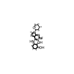 Oc1cccc(Nc2nc(F)nc3c2ncn3C2CCCCO2)c1O